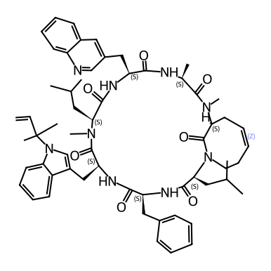 C=CC(C)(C)n1cc(C[C@@H]2NC(=O)[C@H](Cc3ccccc3)NC(=O)[C@H](CC(C)C)N3CC/C=C\C[C@@H](C3=O)N(C)C(=O)[C@H](C)NC(=O)[C@H](Cc3cnc4ccccc4c3)NC(=O)[C@H](CC(C)C)N(C)C2=O)c2ccccc21